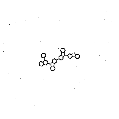 c1ccc(-c2cc(-n3c4ccccc4c4cc(-c5ccc6c(c5)c5ccccc5n6-c5ccc6c(c5)oc5ccccc56)ccc43)cc3ccccc23)cc1